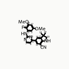 COc1cc(Nc2nccc(-c3cc(C#N)c4c(c3)C(C)(C)CN4)n2)c(F)c(OC)c1